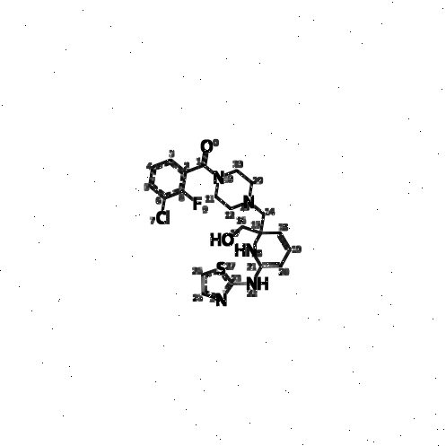 O=C(c1cccc(Cl)c1F)N1CCN(CC2(CO)C=CC=C(Nc3nccs3)N2)CC1